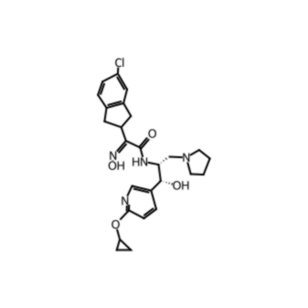 O=C(N[C@H](CN1CCCC1)[C@H](O)c1ccc(OC2CC2)nc1)C(=NO)C1Cc2ccc(Cl)cc2C1